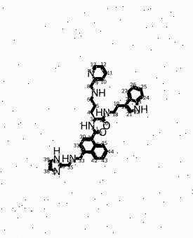 O=C(N[C@@H](CCCNCc1ccccn1)C(=O)NCCc1c[nH]c2ccccc12)c1ccc(CNCc2ncc[nH]2)c2ccccc12